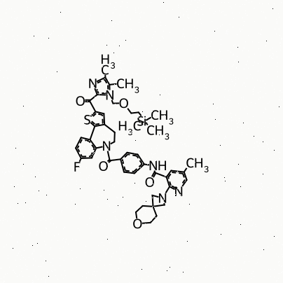 Cc1cnc(N2CC3(CCOCC3)C2)c(C(=O)Nc2ccc(C(=O)N3CCc4cc(C(=O)c5nc(C)c(C)n5COCC[Si](C)(C)C)sc4-c4ccc(F)cc43)cc2)c1